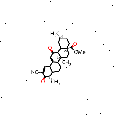 COC(=O)[C@]12CC[C@@H](C)CC1C1C(=O)C=C3C4C=C(C#N)C(=O)[C@@H](C)C4CCC3[C@]1(C)CC2